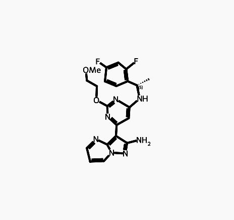 COCCOc1nc(N[C@@H](C)c2ccc(F)cc2F)cc(-c2c(N)nn3cccnc23)n1